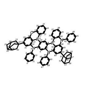 c1ccc(N2c3cc4c(cc3B3c5ccccc5Oc5cc(C67CC8CC(C6)C(C8)C7)cc2c53)B2c3ccccc3N(c3ccccc3)c3cc(C56CC7CC(C5)C(C7)C6)cc(c32)N4c2ccccc2)cc1